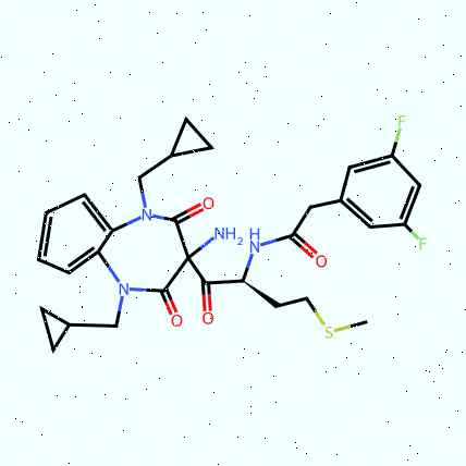 CSCC[C@H](NC(=O)Cc1cc(F)cc(F)c1)C(=O)C1(N)C(=O)N(CC2CC2)c2ccccc2N(CC2CC2)C1=O